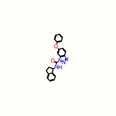 O=C(NC1CCc2ccccc21)n1nnc2ccc(Oc3ccccc3)cc21